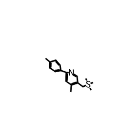 Cc1ccc(-c2cc(C)c(CS(C)(C)C)cn2)cc1